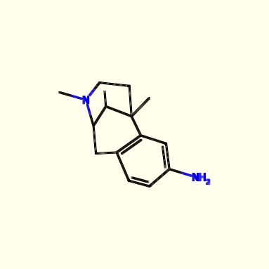 CC1C2Cc3ccc(N)cc3C1(C)CCN2C